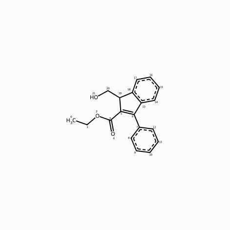 CCOC(=O)C1=C(c2ccccc2)c2ccccc2C1CO